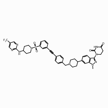 Cn1nc(N2CCC(=O)NC2=O)c2ccc(C3CCN(Cc4ccc(C#Cc5cccc(S(=O)(=O)N6CCC(Nc7ncc(C(F)(F)F)cn7)CC6)c5)cc4)CC3)cc21